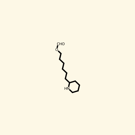 O=COCCCCCCC1CCCCN1